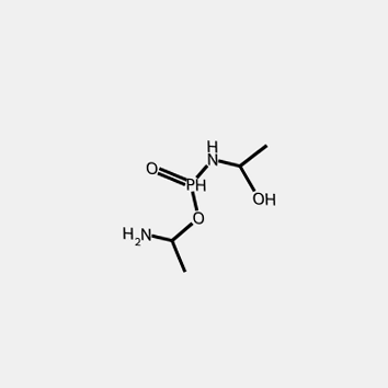 CC(O)N[PH](=O)OC(C)N